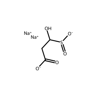 O=C([O-])CC(O)S(=O)[O-].[Na+].[Na+]